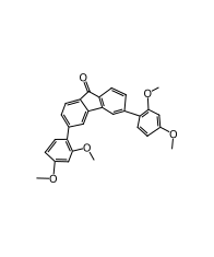 COc1ccc(-c2ccc3c(c2)-c2cc(-c4ccc(OC)cc4OC)ccc2C3=O)c(OC)c1